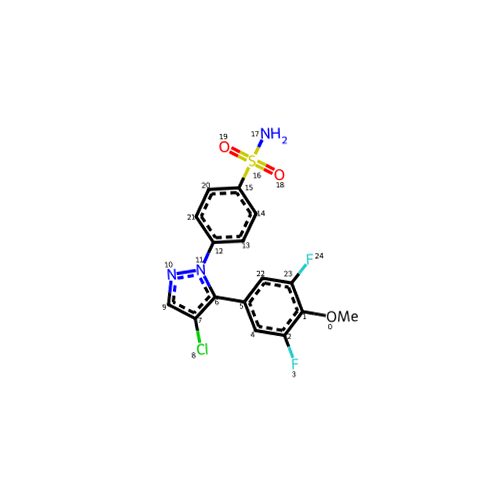 COc1c(F)cc(-c2c(Cl)cnn2-c2ccc(S(N)(=O)=O)cc2)cc1F